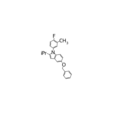 Cc1cc(-n2c(C(C)C)cc3cc(OCc4ccccc4)ccc32)ccc1F